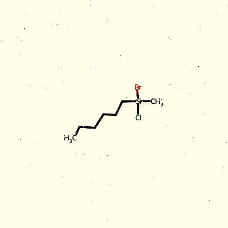 CCCCCC[Si](C)(Cl)Br